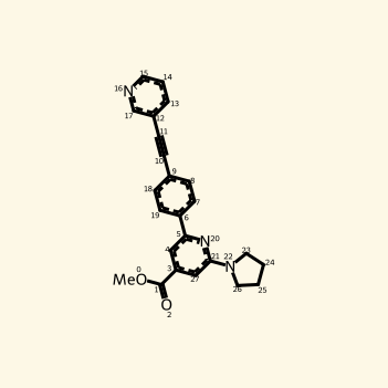 COC(=O)c1cc(-c2ccc(C#Cc3cccnc3)cc2)nc(N2CCCC2)c1